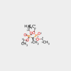 C=C(P(=O)(OCC)OCC)P(=O)(OCC)OCC